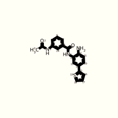 CC(=O)Nc1cccc(C(=O)Nc2cc(-c3cccs3)ccc2N)c1